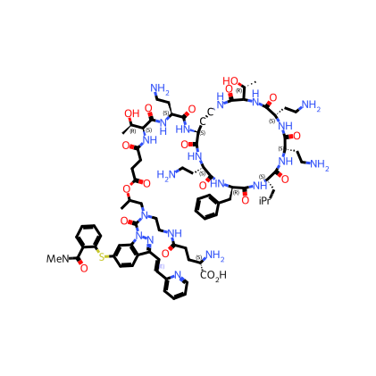 CNC(=O)c1ccccc1Sc1ccc2c(/C=C/c3ccccn3)nn(C(=O)N(CCNC(=O)CC[C@H](N)C(=O)O)CC(C)OC(=O)CCC(=O)N[C@H](C(=O)N[C@@H](CCN)C(=O)N[C@H]3CCNC(=O)C([C@@H](C)O)NC(=O)[C@H](CCN)NC(=O)[C@H](CCN)NC(=O)[C@H](CC(C)C)NC(=O)[C@@H](Cc4ccccc4)NC(=O)[C@H](CCN)NC3=O)[C@@H](C)O)c2c1